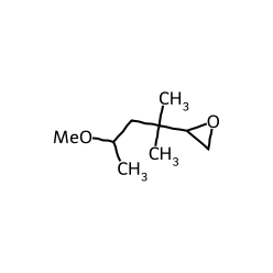 COC(C)CC(C)(C)C1CO1